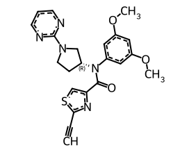 C#Cc1nc(C(=O)N(c2cc(OC)cc(OC)c2)[C@@H]2CCN(c3ncccn3)C2)cs1